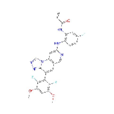 C=CC(=O)Nc1cc(F)ccc1Nc1cc2c(cn1)cc(-c1c(F)c(OC)cc(OC)c1F)c1nncn12